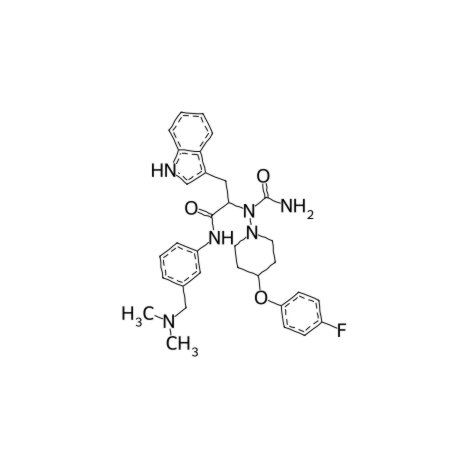 CN(C)Cc1cccc(NC(=O)C(Cc2c[nH]c3ccccc23)N(C(N)=O)N2CCC(Oc3ccc(F)cc3)CC2)c1